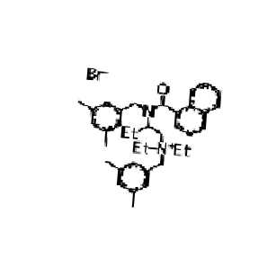 CCC(C[N+](CC)(CC)Cc1cc(C)cc(C)c1)N(Cc1cc(C)cc(C)c1)C(=O)c1cccc2ccccc12.[Br-]